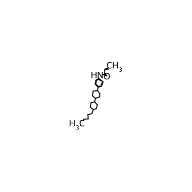 C/C=C/C(=O)Nc1ccc(C2CCC(C3CCC(CCCCC)CC3)CC2)cc1